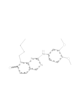 CCCCn1c(=O)ccc2cnc(Nc3ccc(OC)c(OC)c3)nc21